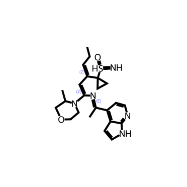 CC/C=C(/C=C(\N=C(/C)c1ccnc2[nH]ccc12)N1CCOCC1C)C1([SH](=N)=O)CC1